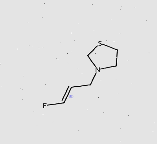 F/C=C/CN1CCSC1